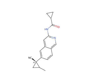 CC1C[C@]1(C#N)c1ccc2cnc(NC(=O)C3CC3)cc2c1